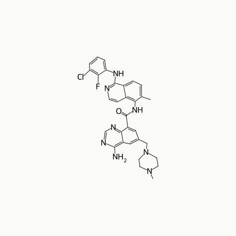 Cc1ccc2c(Nc3cccc(Cl)c3F)nccc2c1NC(=O)c1cc(CN2CCN(C)CC2)cc2c(N)ncnc12